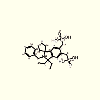 CCC1(CC)c2cc(CP(=O)(O)O)c(CP(=O)(O)O)cc2C(CC)(CC)N1Cc1ccccc1